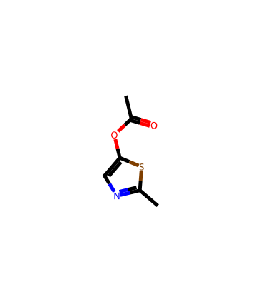 CC(=O)Oc1cnc(C)s1